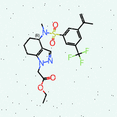 C=C(C)c1cc(C(F)(F)F)cc(S(=O)(=O)N(C)[C@@H]2CCCc3c2cnn3CC(=O)OCC)c1